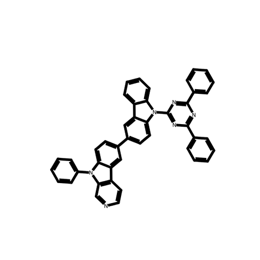 c1ccc(-c2nc(-c3ccccc3)nc(-n3c4ccccc4c4cc(-c5ccc6c(c5)c5ccncc5n6-c5ccccc5)ccc43)n2)cc1